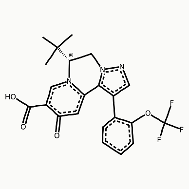 CC(C)(C)[C@@H]1Cn2ncc(-c3ccccc3OC(F)(F)F)c2-c2cc(=O)c(C(=O)O)cn21